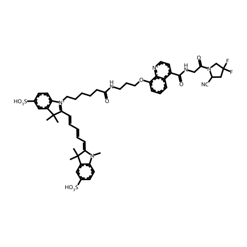 CN1C(=C/C=C/C=C/C2=[N+](CCCCCC(=O)NCCCOc3cccc4c(C(=O)NCC(=O)N5CC(F)(F)CC5C#N)ccnc34)c3ccc(S(=O)(=O)O)cc3C2(C)C)C(C)(C)c2cc(S(=O)(=O)O)ccc21